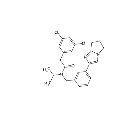 CC(C)N(Cc1cccc(-c2cn3c(n2)CCC3)c1)C(=O)Cc1cc(Cl)cc(Cl)c1